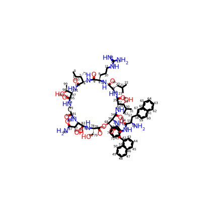 CC[C@H](C)[C@@H]1NC(=O)[C@@H](CCCNC(=N)N)NC(=O)[C@H](CC(C)C)NC(=O)[C@H]([C@H](O)C(C)C)NC(=O)[C@@H](NC(=O)[C@H](Cc2cccc3ccccc23)NC(=O)[C@H](N)Cc2ccc3ccccc3c2)[C@@H](c2ccccc2)OC(=O)[C@H](CO)NC(=O)[C@H]([C@H](O)C(N)=O)NC(=O)CNC(=O)[C@H]([C@H](C)O)NC1=O